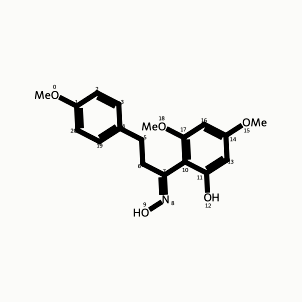 COc1ccc(CC/C(=N\O)c2c(O)cc(OC)cc2OC)cc1